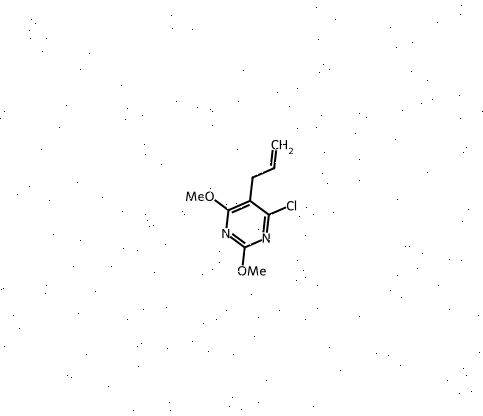 C=CCc1c(Cl)nc(OC)nc1OC